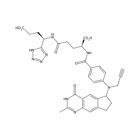 C#CCN(c1ccc(C(=O)N[C@@H](CCC(=O)N[C@H](CCC(=O)O)c2nnn[nH]2)C(=O)O)cc1)C1CCc2cc3nc(C)[nH]c(=O)c3cc21